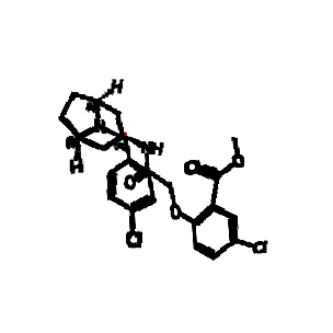 COC(=O)c1cc(Cl)ccc1OCC(=O)N[C@H]1C[C@H]2CC[C@@H](C1)N2Cc1ccc(Cl)cc1